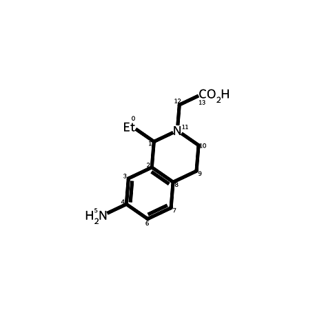 CCC1c2cc(N)ccc2CCN1CC(=O)O